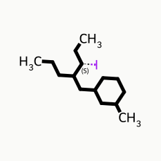 CCCC(CC1CCCC(C)C1)[C@@H](I)CC